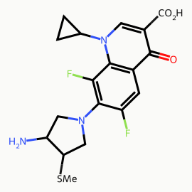 CSC1CN(c2c(F)cc3c(=O)c(C(=O)O)cn(C4CC4)c3c2F)CC1N